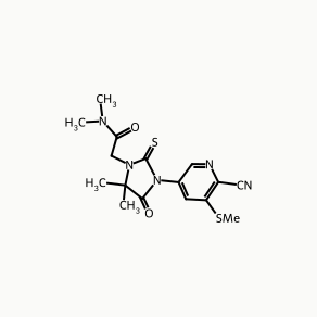 CSc1cc(N2C(=O)C(C)(C)N(CC(=O)N(C)C)C2=S)cnc1C#N